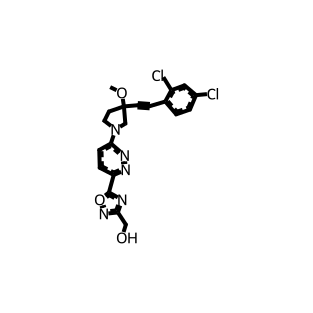 COC1(C#Cc2ccc(Cl)cc2Cl)CCN(c2ccc(-c3nc(CO)no3)nn2)C1